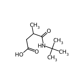 CC(CC(=O)O)C(=O)NC(C)(C)C